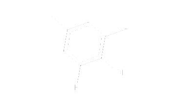 [CH]c1cc(F)c(O)c(F)c1